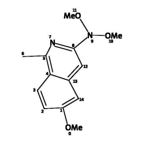 COc1ccc2c(C)nc(N(OC)OC)cc2c1